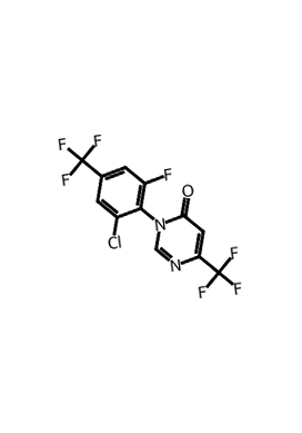 O=c1cc(C(F)(F)F)ncn1-c1c(F)cc(C(F)(F)F)cc1Cl